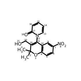 CC1(C)Oc2ccc([N+](=O)[O-])cc2C(n2ccccc2=O)=C1CO